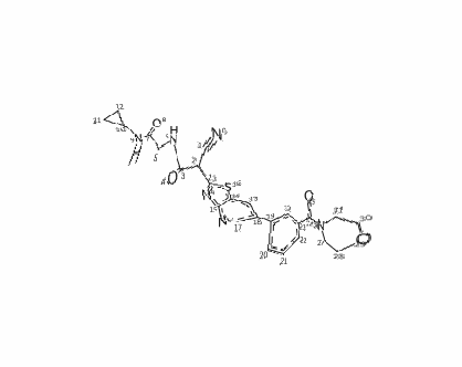 N#CC(C(=O)NCC(=O)NC1CC1)c1nc2ncc(-c3cccc(C(=O)N4CCOCC4)c3)cc2s1